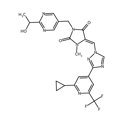 CC(O)c1ncc(CN2C(=O)C(=Cn3cnc(-c4cc(C5CC5)nc(C(F)(F)F)c4)n3)N(C)C2=O)cn1